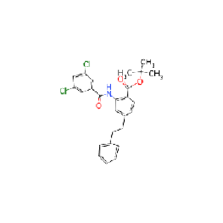 CC(C)(C)OC(=O)c1ccc(CCc2ccccc2)cc1NC(=O)c1cc(Cl)cc(Cl)c1